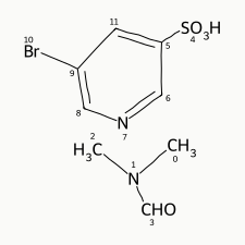 CN(C)C=O.O=S(=O)(O)c1cncc(Br)c1